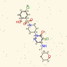 O=c1c(Cl)c(NC[C@H]2CCCOC2)cnn1C1CCN(S(=O)(=O)c2cc(Cl)ccc2O)CC1